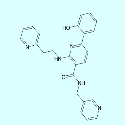 O=C(NCc1cccnc1)c1ccc(-c2ccccc2O)nc1NCCc1ccccn1